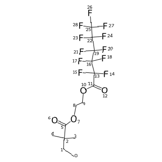 CCC(C)(C)C(=O)OCCOC(=O)C(F)(F)C(F)(F)C(F)(F)C(F)(F)C(F)(F)F